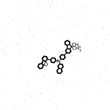 CC1(C)c2ccccc2-c2cc(-c3ccc(N(c4ccc(-c5cccc6c5oc5ccccc56)cc4)c4ccc5ccccc5c4)cc3)ccc21